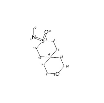 CN=S1(=O)CCC2(CCOCC2)CC1